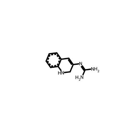 NC(N)=NC1=Cc2ccccc2NC1